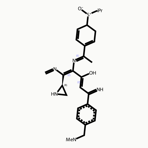 C=N/C(=C(\N=C(/C)C1=CCC([S+]([O-])C(C)C)C=C1)C(/O)=C/C(=N)c1ccc(CNC)cc1)[C@H]1CN1